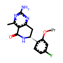 Cc1nc(N)nc2c1C(=O)N[C@@H](c1ccc(F)cc1OC(C)C)C2